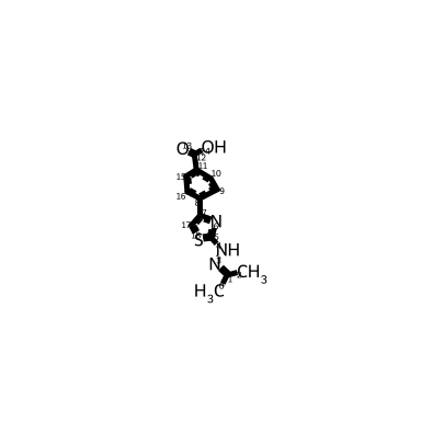 CC(C)=NNc1nc(-c2ccc(C(=O)O)cc2)cs1